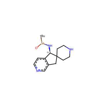 CC(C)(C)[S+]([O-])N[C@@H]1c2ccncc2CC12CCNCC2